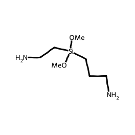 CO[Si](CCN)(CCCN)OC